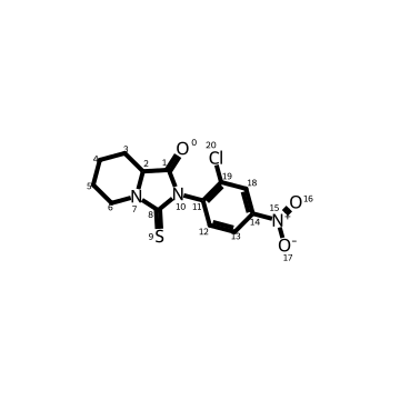 O=C1C2CCCCN2C(=S)N1c1ccc([N+](=O)[O-])cc1Cl